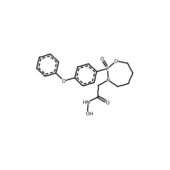 O=C(CN1CCCCOP1(=O)c1ccc(Oc2ccccc2)cc1)NO